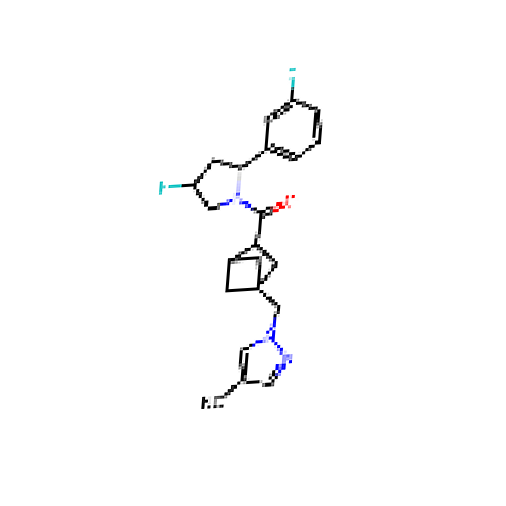 N#Cc1cnn(CC23CC(C2)C(C(=O)N2CC(F)CC2c2cccc(F)c2)C3)c1